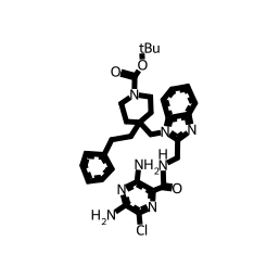 CC(C)(C)OC(=O)N1CCC(CCc2ccccc2)(Cn2c(CNC(=O)c3nc(Cl)c(N)nc3N)nc3ccccc32)CC1